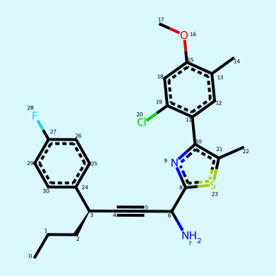 CCC[C@H](C#CC(N)c1nc(-c2cc(C)c(OC)cc2Cl)c(C)s1)c1ccc(F)cc1